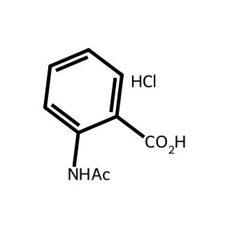 CC(=O)Nc1ccccc1C(=O)O.Cl